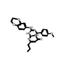 CCCc1cc(=O)[nH]c(N/C(=N\C(=O)c2ccc(OC)cc2)Nc2ccc3c(c2)OCCO3)n1